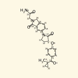 CC1(C(=O)c2ccc(O[C@@H]3CCN(c4ccc5c(c4)C(=O)N(CC(N)=O)C5)C3=O)cc2)CC1